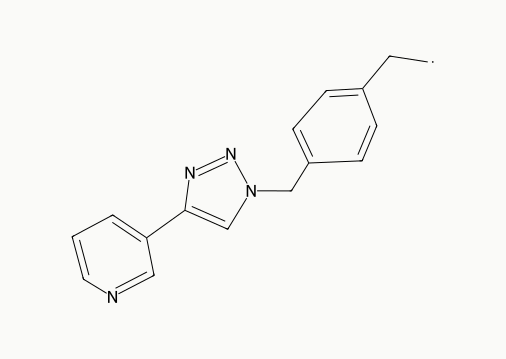 [CH2]Cc1ccc(Cn2cc(-c3cccnc3)nn2)cc1